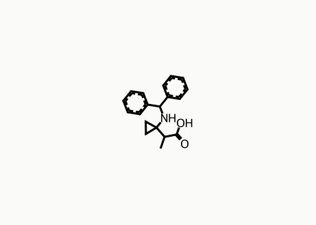 CC(C(=O)O)C1(NC(c2ccccc2)c2ccccc2)CC1